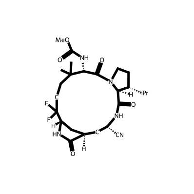 COC(=O)N[C@@H]1C(=O)N2CC[C@H](C(C)C)[C@H]2C(=O)N[C@H](C#N)C[C@@H]2C[C@H](NC2=O)C(F)(F)CCC1(C)C